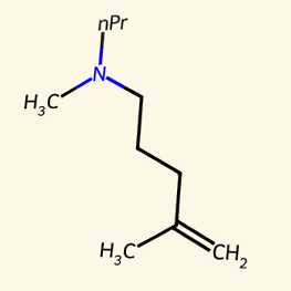 C=C(C)CCCN(C)CCC